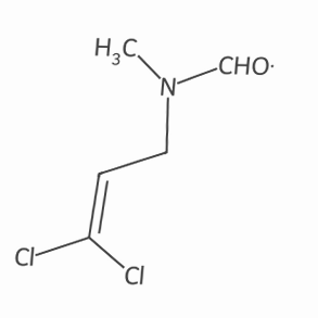 CN([C]=O)CC=C(Cl)Cl